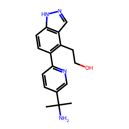 CC(C)(N)c1ccc(-c2ccc3[nH]ncc3c2CCO)nc1